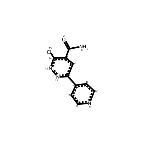 NC(=O)c1cc(-c2ccncc2)nnc1Cl